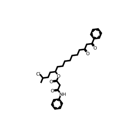 CC(Cl)CCC(CCCCCCCC(=O)CC(=O)c1ccccc1)OC(=O)CC(=O)Nc1ccccc1